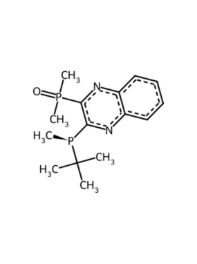 C[P@@](c1nc2ccccc2nc1P(C)(C)=O)C(C)(C)C